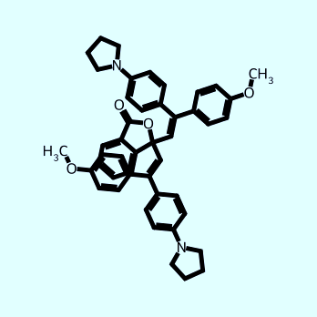 COc1ccc(C(=CC2(C=C(c3ccc(OC)cc3)c3ccc(N4CCCC4)cc3)OC(=O)c3ccccc32)c2ccc(N3CCCC3)cc2)cc1